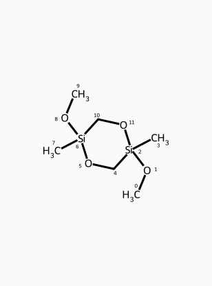 CO[Si]1(C)CO[Si](C)(OC)CO1